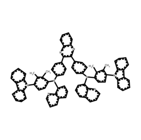 Cc1c(N(c2ccc(-c3nc4ccccc4nc3-c3ccc(N(c4ccc(-n5c6ccccc6c6ccccc65)c(C)c4C)c4cccc5cccnc45)cc3)cc2)c2cccc3cccnc23)ccc(-n2c3ccccc3c3ccccc32)c1C